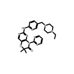 CCN1CCN(Cc2ccc(Nc3ncc4c(n3)N(c3ncccn3)C(=O)C(C)(C)O4)nc2)CC1